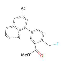 COC(=O)c1cc(-c2cc(C(C)=O)cc3ccccc23)ccc1CF